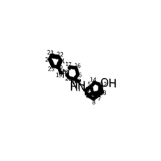 NC1(CNC2C3CC4CC2CC(O)(C4)C3)CCCN(Cc2ccccc2)C1